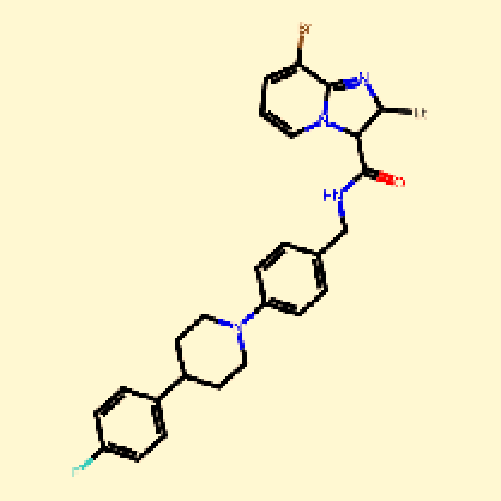 CCC1N=C2C(Br)=CC=CN2C1C(=O)NCc1ccc(N2CCC(c3ccc(F)cc3)CC2)cc1